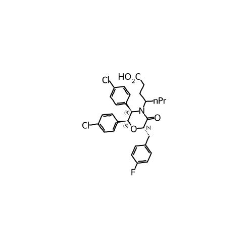 CCCC(CCC(=O)O)N1C(=O)[C@H](Cc2ccc(F)cc2)O[C@@H](c2ccc(Cl)cc2)[C@H]1c1ccc(Cl)cc1